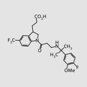 COc1cc(C(C)(C)NCCC(=O)N2CC(CCC(=O)O)c3cc(C(F)(F)F)ccc32)ccc1F